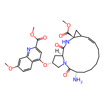 COC(=O)c1cc(O[C@@H]2C[C@H]3C(=O)N[C@]4(C(=O)OC)CC4/C=C\CCCCC[C@H](N)C(=O)N3C2)c2ccc(OC)cc2n1